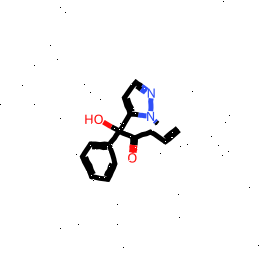 C=CCC(=O)C(O)(c1ccccc1)c1ccnn1C